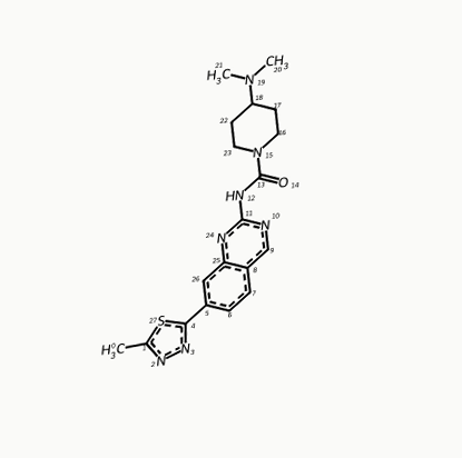 Cc1nnc(-c2ccc3cnc(NC(=O)N4CCC(N(C)C)CC4)nc3c2)s1